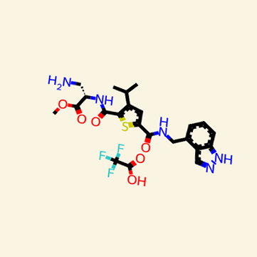 COC(=O)[C@H](CN)NC(=O)c1sc(C(=O)NCc2cccc3[nH]ncc23)cc1C(C)C.O=C(O)C(F)(F)F